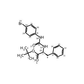 CC(C)(C)OC(=O)[C@H](Cc1ccccc1)NC(=O)Nc1ccc(Br)cc1